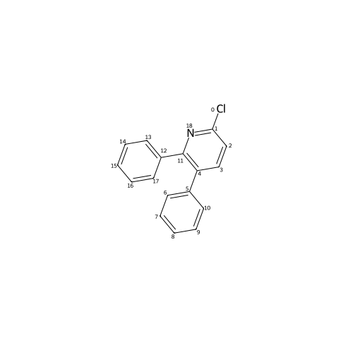 Clc1ccc(-c2ccccc2)c(-c2ccccc2)n1